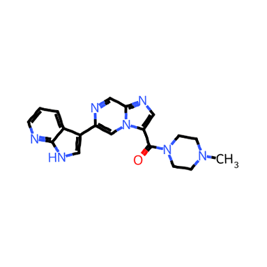 CN1CCN(C(=O)c2cnc3cnc(-c4c[nH]c5ncccc45)cn23)CC1